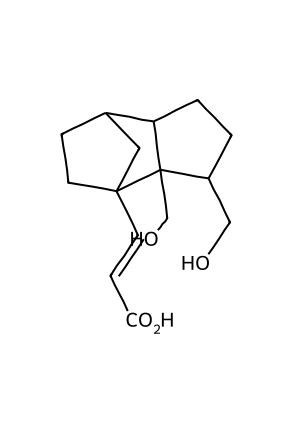 O=C(O)C=CC12CCC(C1)C1CCC(CO)C12CO